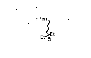 CCCCCCCCCP(=O)(CC)CC